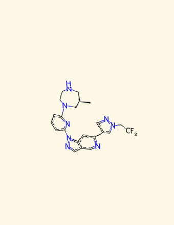 C[C@@H]1CNCCN(c2cccc(-n3ncc4cnc(-c5cnn(CC(F)(F)F)c5)cc43)n2)C1